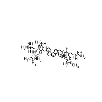 CNC(=O)N[C@@H](CC1C=CC=C(c2cccc3nc(CN(CC(=O)N[C@@H](CCCNC(=N)N)CN[C@@H](CC(C)C)C(N)=O)C(=O)NC)ccc23)N1C)C(=O)N[C@@H](CCCNC(=N)N)CN[C@@H](CC(C)C)C(N)=O